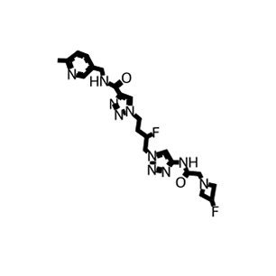 Cc1ccc(CNC(=O)c2cn(CCC(F)Cn3cc(NC(=O)CN4CC(F)C4)nn3)nn2)cn1